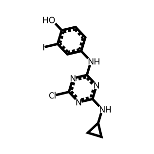 Oc1ccc(Nc2nc(Cl)nc(NC3CC3)n2)cc1I